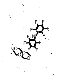 C1COCCO1.C1COCCO1.Fc1c(F)c(F)[c]([Ni][c]2c(F)c(F)c(F)c(F)c2F)c(F)c1F.[Ni]